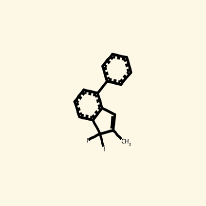 CC1=Cc2c(-c3ccccc3)cccc2C1(I)I